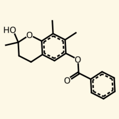 Cc1c(OC(=O)c2ccccc2)cc2c(c1C)OC(C)(O)CC2